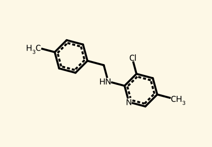 Cc1ccc(CNc2ncc(C)cc2Cl)cc1